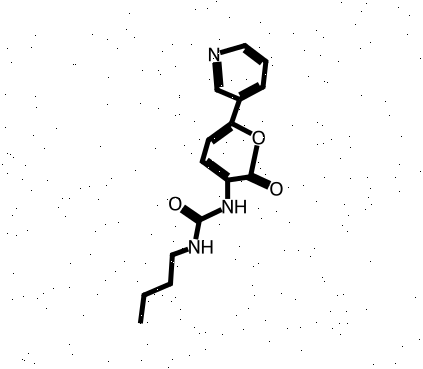 CCCCNC(=O)Nc1ccc(-c2cccnc2)oc1=O